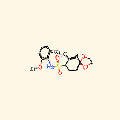 CCOC(=O)C1=CC2(CCC1S(=O)(=O)Nc1ccccc1OCC)OCCO2